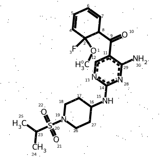 COC1(F)C=CC=CC1C(=O)c1cnc(NC2CCN(S(=O)(=O)C(C)C)CC2)nc1N